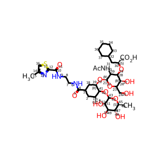 CCC1CC(C(=O)NCCNC(=O)c2nc(C)cs2)C[C@@H](O[C@@H]2OC(CO)[C@H](O)C(O[C@@H](CC3CCCCC3)C(=O)O)C2NC(C)=O)C1OC1O[C@@H](C)[C@H](O)C(O)[C@@H]1O